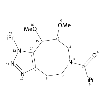 COC1CN(C(=O)C(C)C)CCc2nnn(C(C)C)c2C1OC